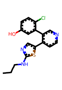 CCCNc1ncc(-c2ccncc2-c2cc(O)ccc2Cl)s1